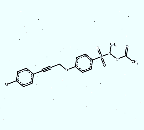 CC(=O)ON(C)S(=O)(=O)c1ccc(OCC#Cc2ccc(Cl)cc2)cc1